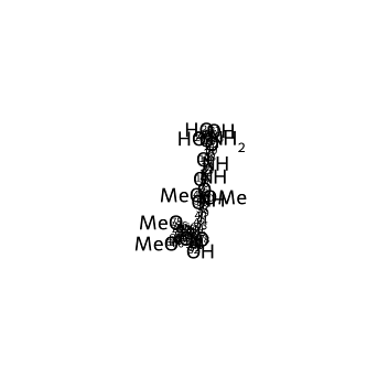 COCC(COC)(COCCC(=O)NCCCNC(=O)CCCCOC1OC(CO)C(O)C(O)C1N)NC(=O)CCCCCCCCCCC(=O)N1C[C@H](O)C[C@H]1COC(c1ccccc1)(c1ccc(OC)cc1)c1ccc(OC)cc1